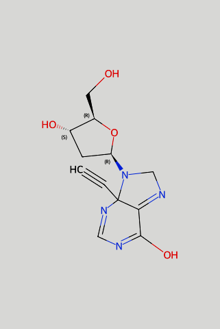 C#CC12N=CN=C(O)C1=NCN2[C@H]1C[C@H](O)[C@@H](CO)O1